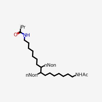 CCCCCCCCCC(CCCCCCCNC(C)=O)C(CCCCCCCCC)CCCCCCCNC(=O)C(C)C